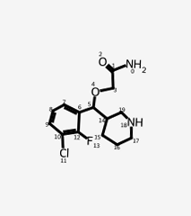 NC(=O)COC(c1cccc(Cl)c1F)C1CCCNC1